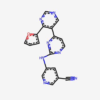 N#Cc1cncc(Nc2nccc(-c3cncnc3-c3ccco3)n2)c1